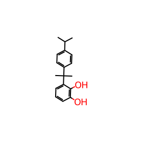 CC(C)c1ccc(C(C)(C)c2cccc(O)c2O)cc1